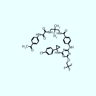 CC(=O)c1ccc(NC(=O)C(=O)NCC(C)(C)CNC(=O)c2ccc(Nc3nc(NC4(c5ccc(Cl)cc5)CC4)nc(OCC(F)(F)F)n3)cc2)cc1